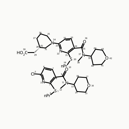 CCCSc1nc(Cl)ccc1C(=O)N(C)C1CCOCC1.CCCSc1nc(N2CCC[C@@H](CC(=O)O)C2)ccc1C(=O)N(C)C1CCOCC1